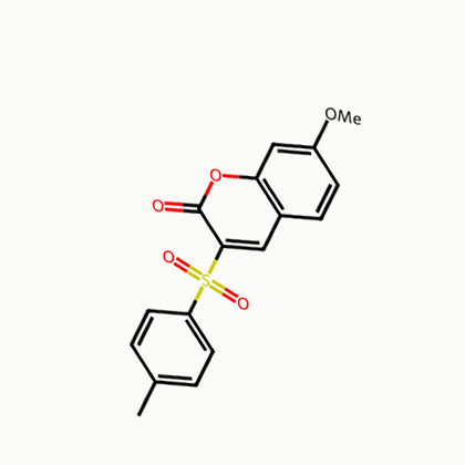 COc1ccc2cc(S(=O)(=O)c3ccc(C)cc3)c(=O)oc2c1